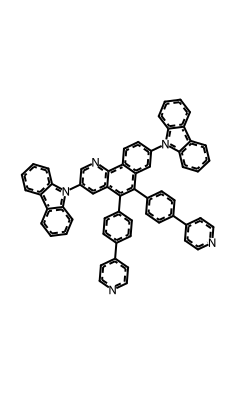 c1ccc2c(c1)c1ccccc1n2-c1ccc2c(c1)c(-c1ccc(-c3ccncc3)cc1)c(-c1ccc(-c3ccncc3)cc1)c1cc(-n3c4ccccc4c4ccccc43)cnc12